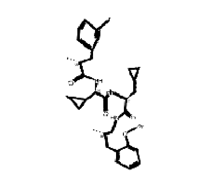 CCCOc1ccccc1C[C@H](C)CNC(=O)[C@H](CC1CC1)NC(=O)[C@H](NC(=O)[C@H](C)Cc1cccc(F)c1)C1CC1